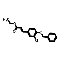 CCOC(=O)C=Cc1ccc(OCc2ccccc2)c(Cl)c1